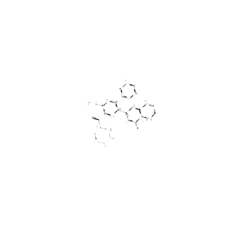 Nc1nc(-c2ccccc2)c(-c2cc(Cl)c3ncccc3c2)nc1C(=O)C1COCCN1